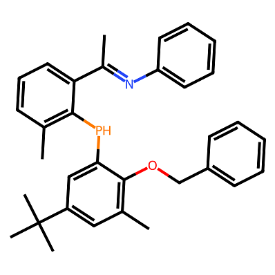 C/C(=N\c1ccccc1)c1cccc(C)c1Pc1cc(C(C)(C)C)cc(C)c1OCc1ccccc1